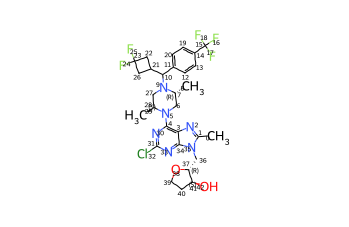 Cc1nc2c(N3C[C@@H](C)N(C(c4ccc(C(F)(F)F)cc4)C4CC(F)(F)C4)C[C@@H]3C)nc(Cl)nc2n1C[C@H]1OCC[C@@H]1O